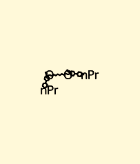 C#CC1(OCCCCCCCCOC2(C#C)CCC(C3CCC(CCC)CC3)CC2)CCC(C2CCC(CCC)CC2)CC1